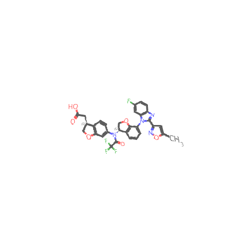 Cc1cc(-c2nc3ccc(F)cc3n2-c2cccc3c2OC[C@H]3N(C(=O)C(F)(F)F)c2ccc3c(c2)OC[C@H]3CC(=O)O)no1